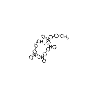 C=Cc1ccc(-c2ccc3c(c2)C2C=C(N(c4ccccc4)c4ccc(-c5ccc(N(c6ccccc6)c6ccc7c(c6)c6cc(-c8ccc(C=C)cc8)ccc6n7-c6ccccc6)cc5)cc4)C=CC2N3c2ccccc2)cc1